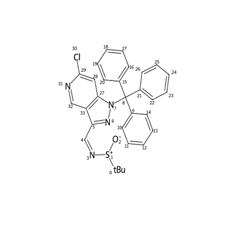 CC(C)(C)[S+]([O-])/N=C\c1nn(C(c2ccccc2)(c2ccccc2)c2ccccc2)c2cc(Cl)ncc12